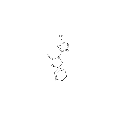 O=C1OC2(CN3CCC2CC3)CN1c1nc(Br)cs1